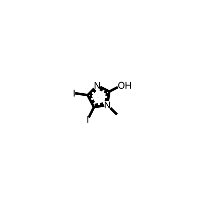 Cn1c(O)nc(I)c1I